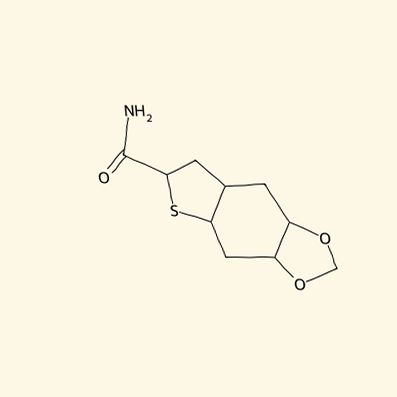 NC(=O)C1CC2CC3OCOC3CC2S1